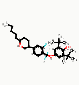 CCCCCC1CCC(c2ccc(C(F)(F)Oc3cc(C(C)(C)C)c(O)c(C(C)(C)C)c3)c(F)c2)CO1